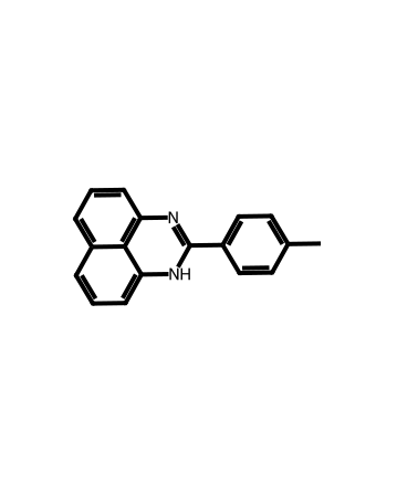 Cc1ccc(C2=Nc3cccc4cccc(c34)N2)cc1